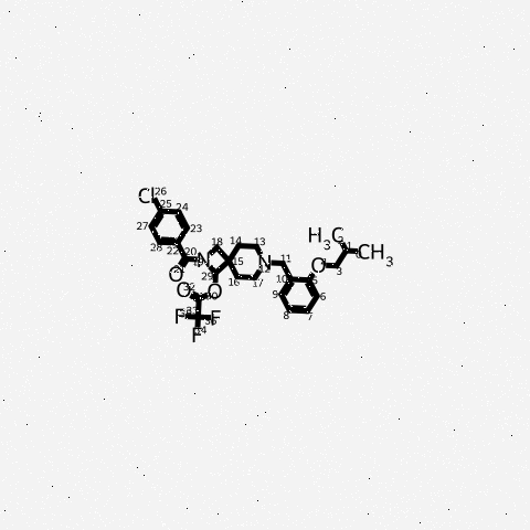 CC(C)COc1ccccc1CN1CCC2(CC1)CN(C(=O)c1ccc(Cl)cc1)C2OC(=O)C(F)(F)F